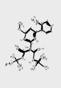 COc1cc(-c2ccncc2N)nc(N(C(=O)OC(C)(C)C)C(=O)OC(C)(C)C)n1